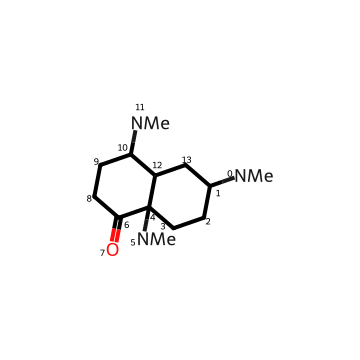 CNC1CCC2(NC)C(=O)CCC(NC)C2C1